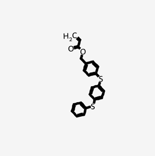 C=CC(=O)OCc1ccc(Sc2ccc(Sc3ccccc3)cc2)cc1